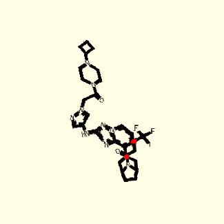 O=C(Cn1cc(Nc2nc3c(N4CC5CCC(C4)N5C(=O)CCC(F)(F)I)cccn3n2)cn1)N1CCN(C2CCC2)CC1